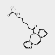 O=C(CCCCCNC(=O)C(F)(F)F)N1Cc2ccccc2/C=C\c2ccccc21